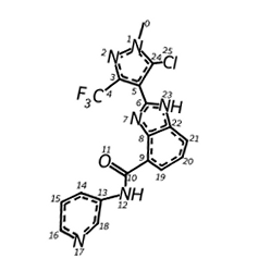 Cn1nc(C(F)(F)F)c(-c2nc3c(C(=O)Nc4cccnc4)cccc3[nH]2)c1Cl